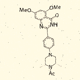 COc1cc(OC)c2c(=O)[nH]c(-c3ccc(N4C[C@@H](C)N(C(C)=O)[C@@H](C)C4)cc3)nc2c1